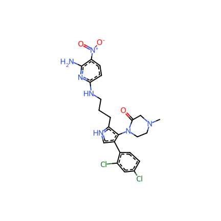 CN1CCN(c2c(-c3ccc(Cl)cc3Cl)c[nH]c2CCCNc2ccc([N+](=O)[O-])c(N)n2)C(=O)C1